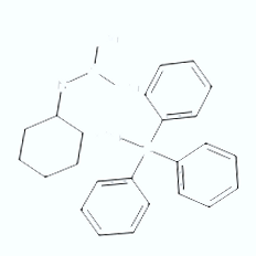 CC(C)(C)[S+](NC1CCCCC1)C(C)(C)C.CCCC[B-](c1ccccc1)(c1ccccc1)c1ccccc1